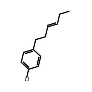 [CH2]C/C=C/CCc1ccc(Cl)cc1